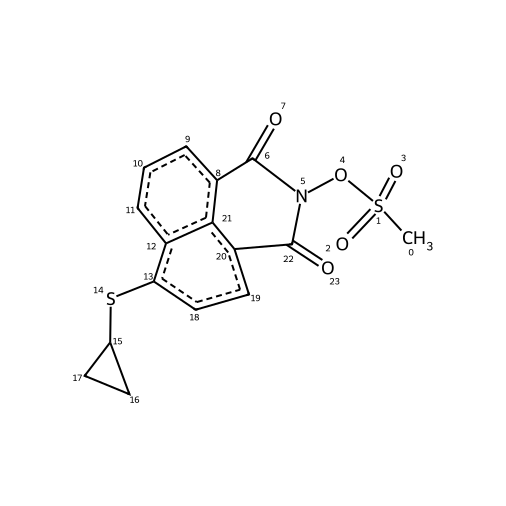 CS(=O)(=O)ON1C(=O)c2cccc3c(SC4CC4)ccc(c23)C1=O